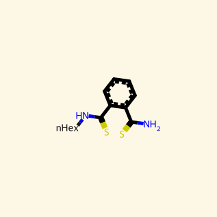 CCCCCCNC(=S)c1ccccc1C(N)=S